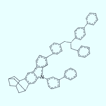 c1ccc(CC(Cc2ccc(-c3ccc4c5cc6c(cc5n(-c5cccc(-c7ccccc7)c5)c4c3)C3CC4CC(C3)C6C4)cc2)c2ccc(-c3ccccc3)cc2)cc1